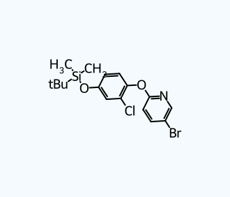 CC(C)(C)[Si](C)(C)Oc1ccc(Oc2ccc(Br)cn2)c(Cl)c1